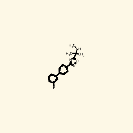 CNC(C)(C)c1nc(-c2ccc(-c3cccc(F)c3)cn2)no1